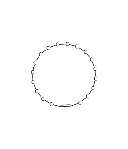 [CH]1C=CCCCCCCCCCCCCCCCCC1